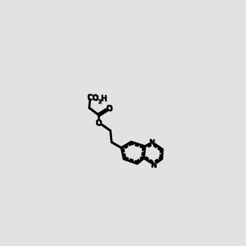 O=C(O)CC(=O)OCCc1ccc2nccnc2c1